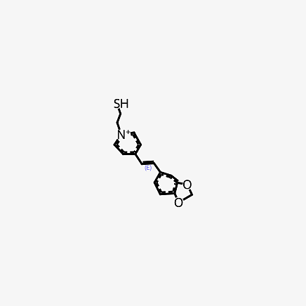 SCC[n+]1ccc(/C=C/c2ccc3c(c2)OCO3)cc1